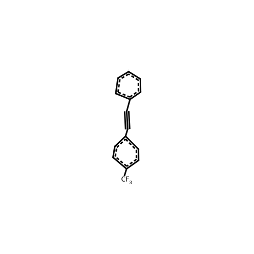 FC(F)(F)c1ccc(C#Cc2cc[c]cc2)cc1